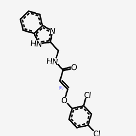 O=C(/C=C/Oc1ccc(Cl)cc1Cl)NCc1nc2ccccc2[nH]1